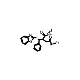 CCNC(=O)CC(C(=O)NCC)C(Sc1nc2ccccc2s1)c1ccccc1